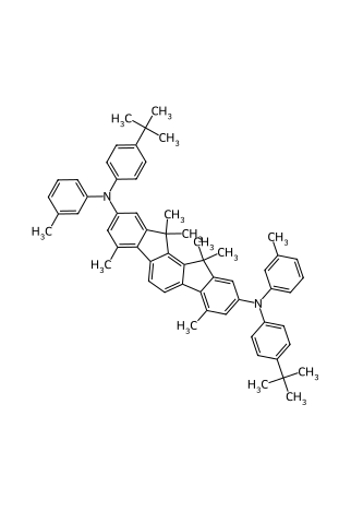 Cc1cccc(N(c2ccc(C(C)(C)C)cc2)c2cc(C)c3c(c2)C(C)(C)c2c-3ccc3c2C(C)(C)c2cc(N(c4ccc(C(C)(C)C)cc4)c4cccc(C)c4)cc(C)c2-3)c1